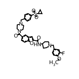 COc1ccc(CN2CCC(NC(=O)c3cc4cc(C(=O)N5CCN(Cc6ccc(S(=O)(=O)C7CC7)cc6)CC5)ccc4o3)CC2)cc1F